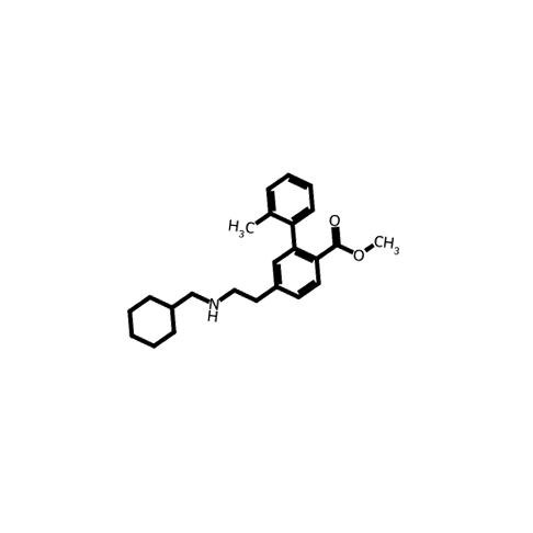 COC(=O)c1ccc(CCNCC2CCCCC2)cc1-c1ccccc1C